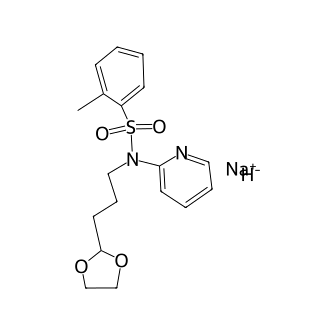 Cc1ccccc1S(=O)(=O)N(CCCC1OCCO1)c1ccccn1.[H-].[Na+]